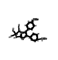 COc1ccc(-c2nc3n(c2-c2ccc(OC)cc2)C(F)C(F)(F)S3)cc1